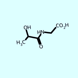 CC(O)C(=O)NCC(=O)O